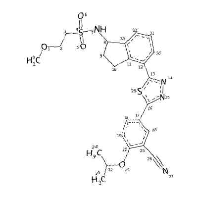 COCCS(=O)(=O)NC1CCc2c(-c3nnc(-c4ccc(OC(C)C)c(C#N)c4)s3)cccc21